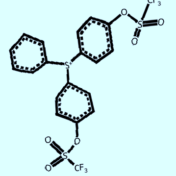 O=S(=O)(Oc1ccc([S+](c2ccccc2)c2ccc(OS(=O)(=O)C(F)(F)F)cc2)cc1)C(F)(F)F